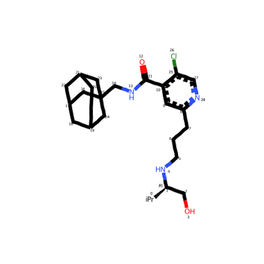 CC(C)[C@H](CO)NCCCc1cc(C(=O)NCC23CC4CC(CC(C4)C2)C3)c(Cl)cn1